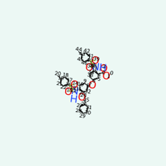 COC(=O)c1cc(Oc2ccc(NS(=O)(=O)c3ccc(C)cc3)c(OCc3ccccc3)c2)ccc1NS(=O)(=O)c1ccc(C)cc1